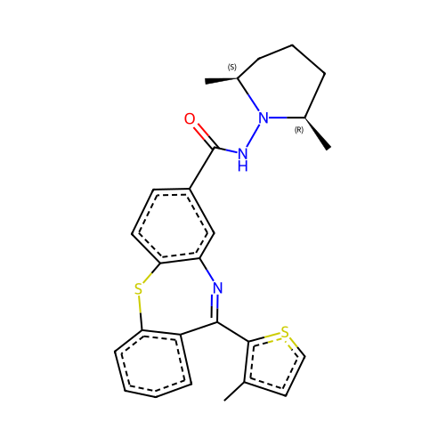 Cc1ccsc1C1=Nc2cc(C(=O)NN3[C@H](C)CCC[C@@H]3C)ccc2Sc2ccccc21